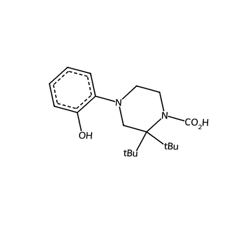 CC(C)(C)C1(C(C)(C)C)CN(c2ccccc2O)CCN1C(=O)O